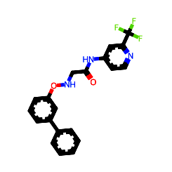 O=C(CNOc1cccc(-c2ccccc2)c1)Nc1ccnc(C(F)(F)F)c1